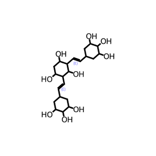 OC1CC(/C=C/C2C(O)CC(O)C(/C=C/C3CC(O)C(O)C(O)C3)C2O)CC(O)C1O